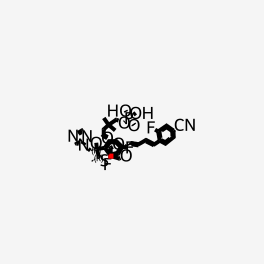 C[C@@H](S[C@H]1CO[C@H](C=CC=Cc2ccc(C#N)cc2F)OC1)[C@@](Cn1cncn1)(OC(=O)CC(C)(C)COP(=O)(O)O)c1ccc(F)cc1F